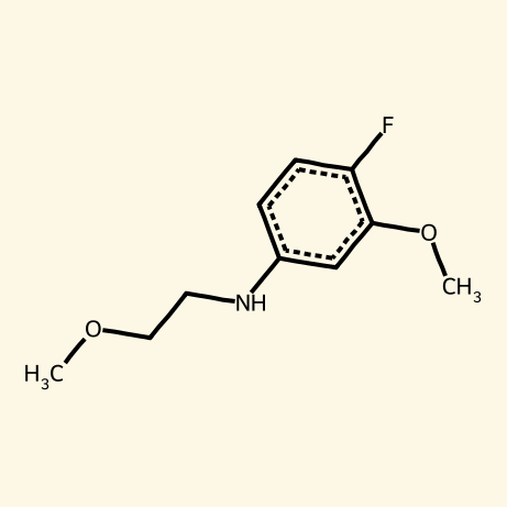 COCCNc1ccc(F)c(OC)c1